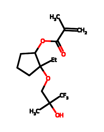 C=C(C)C(=O)OC1CCCC1(CC)OCC(C)(O)C(F)(F)F